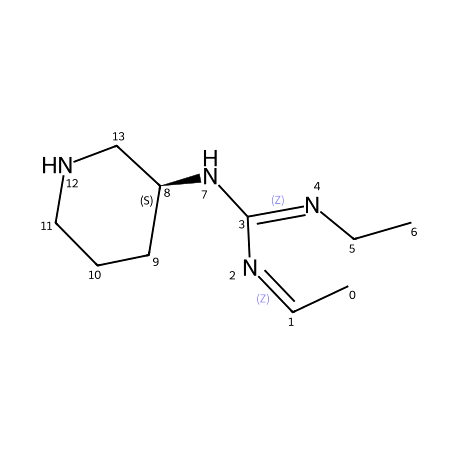 C/C=N\C(=N/CC)N[C@H]1CCCNC1